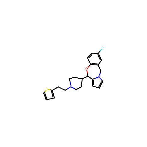 Fc1ccc2c(c1)Cn1cccc1C(C1CCN(CCc3cccs3)CC1)O2